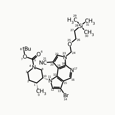 C[C@@H]1CCN(C(=O)OC(C)(C)C)C[C@@H]1n1cc(Br)c2cnc3c(c(C#N)cn3COCC[Si](C)(C)C)c21